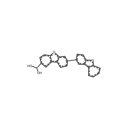 OB(O)c1ccc2oc3cc(-c4ccc5sc6ccccc6c5c4)ccc3c2c1